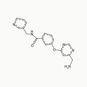 NCc1cc(Oc2cccc(C(=O)NCc3cccnc3)c2)ncn1